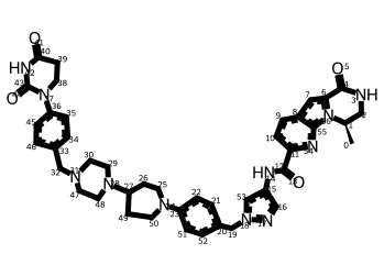 C[C@@H]1CNC(=O)c2cc3ccc(C(=O)Nc4cnn(Cc5ccc(N6CCC(N7CCN(Cc8ccc(N9CCC(=O)NC9=O)cc8)CC7)CC6)cc5)c4)nc3n21